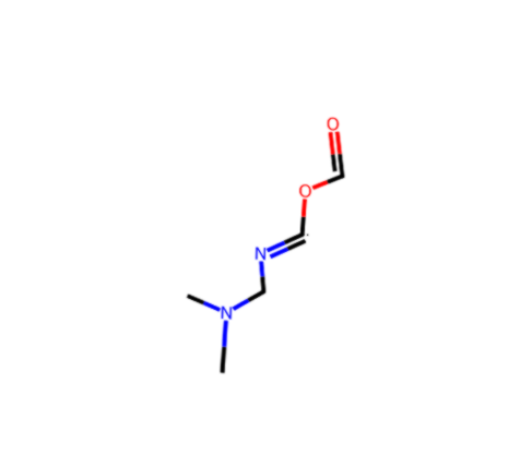 CN(C)C/N=[C]/OC=O